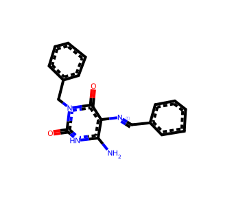 Nc1[nH]c(=O)n(Cc2ccccc2)c(=O)c1/N=C/c1ccccc1